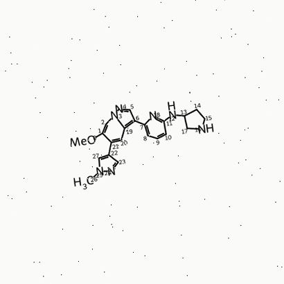 COc1cn2ncc(-c3cccc(NC4CCNC4)n3)c2cc1-c1cnn(C)c1